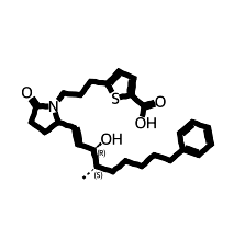 C[C@@H](CCCCCc1ccccc1)[C@@H](O)C=CC1CCC(=O)N1CCCc1ccc(C(=O)O)s1